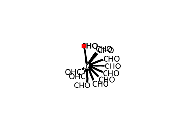 O=[CH][Ir]([CH]=O)([CH]=O)([CH]=O)([CH]=O)([CH]=O)([CH]=O)([CH]=O)([CH]=O)([CH]=O)([CH]=O)[CH]=O